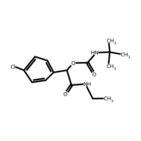 CCNC(=O)C(OC(=O)NC(C)(C)C)c1ccc(Cl)cc1